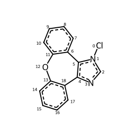 Cln1cnc2c1-c1ccccc1Oc1ccccc1-2